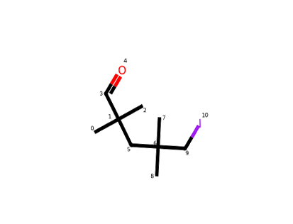 CC(C)(C=O)CC(C)(C)CI